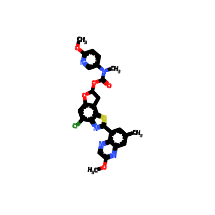 COc1ccc(N(C)C(=O)OC2Cc3c(cc(Cl)c4nc(-c5cc(C)cc6nc(OC)cnc56)sc34)O2)cn1